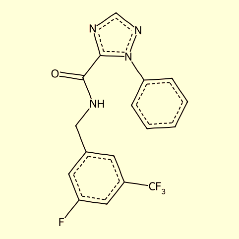 O=C(NCc1cc(F)cc(C(F)(F)F)c1)c1ncnn1-c1ccccc1